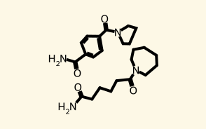 NC(=O)CCCCC(=O)N1CCCCCC1.NC(=O)c1ccc(C(=O)N2CCCC2)cc1